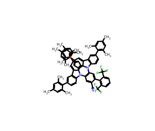 Cc1cc(C)c(-c2ccc3c(c2)c2cc(-c4c(C)cc(C)cc4C)ccc2n3-c2cc(C#N)c(-c3c(C(F)(F)F)cccc3C(F)(F)F)cc2-n2c3ccc(-c4c(C)cc(C)cc4C)cc3c3cc(-c4c(C)cc(C)cc4C)ccc32)c(C)c1